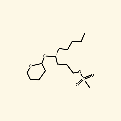 CCCCC[C@H](CCCOS(C)(=O)=O)OC1CCCCO1